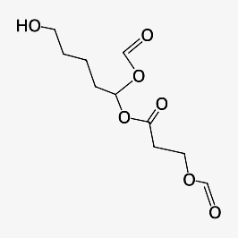 O=COCCC(=O)OC(CCCCO)OC=O